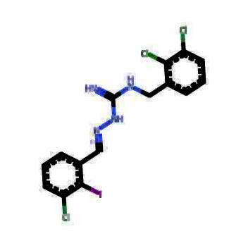 N=C(NCc1cccc(Cl)c1Cl)N/N=C/c1cccc(Cl)c1I